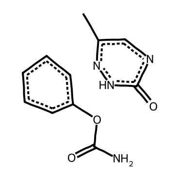 Cc1cnc(=O)[nH]n1.NC(=O)Oc1ccccc1